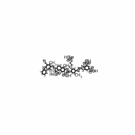 Cc1cc(N=Nc2c(S(=O)(=O)O)cc3c(S(=O)(=O)O)c(N=Nc4c(C)c(C#N)c5nc6ccccc6n5c4O)ccc3c2O)c(OCCCS(=O)(=O)O)cc1N=Nc1nc2c(S(=O)(=O)O)cc(S(=O)(=O)O)cc2s1